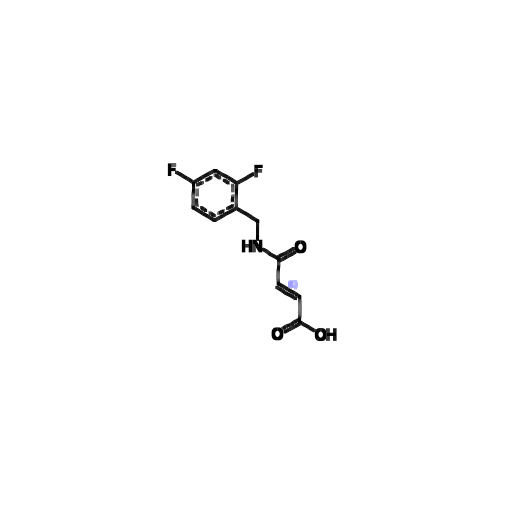 O=C(O)/C=C/C(=O)NCc1ccc(F)cc1F